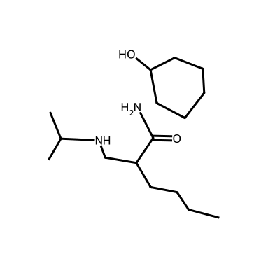 CCCCC(CNC(C)C)C(N)=O.OC1CCCCC1